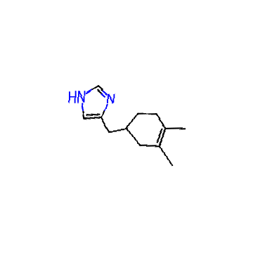 CC1=C(C)CC(Cc2c[nH]cn2)CC1